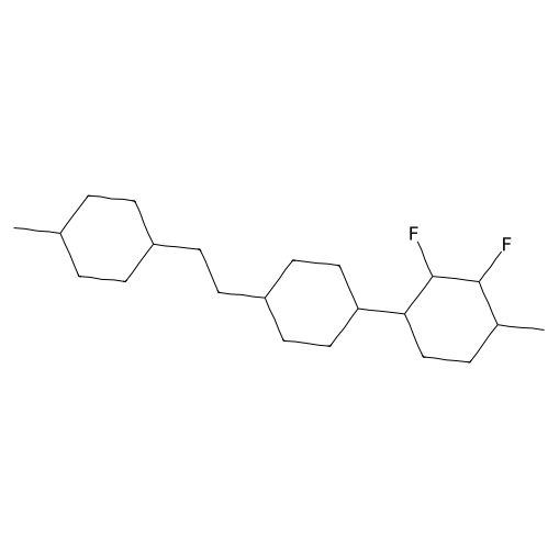 CC1CCC(CCC2CCC(C3CCC(C)C(F)C3F)CC2)CC1